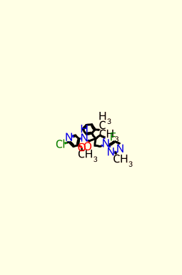 COc1cc(Cl)ncc1NC(=O)C1(c2ccccc2C(C)C)CCN(c2nc(C)ncc2F)CC1